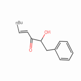 CCCCC=CC(=O)C(O)Cc1ccccc1